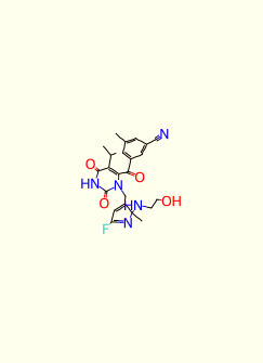 Cc1cc(C#N)cc(C(=O)c2c(C(C)C)c(=O)[nH]c(=O)n2CC2=CC(F)=NC2(C)NCCO)c1